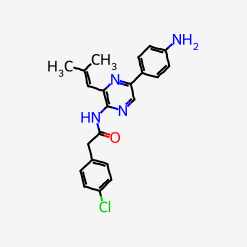 CC(C)=Cc1nc(-c2ccc(N)cc2)cnc1NC(=O)Cc1ccc(Cl)cc1